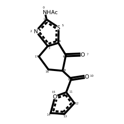 CC(=O)Nc1nc2c(s1)C(=O)C(C(=O)c1ccco1)CC2